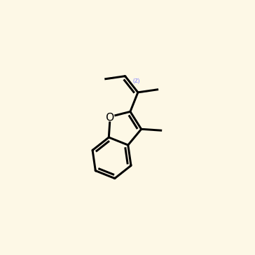 C/C=C(/C)c1oc2ccccc2c1C